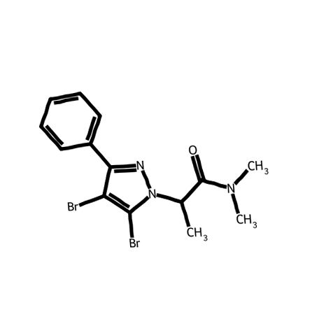 CC(C(=O)N(C)C)n1nc(-c2ccccc2)c(Br)c1Br